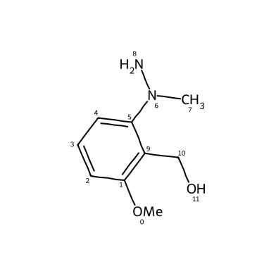 COc1cccc(N(C)N)c1CO